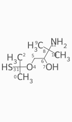 CC(C)(S)OCC(O)C(C)(C)N